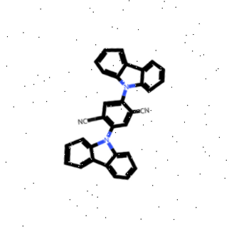 N#Cc1cc(-n2c3ccccc3c3ccccc32)c(C#N)cc1-n1c2ccccc2c2ccccc21